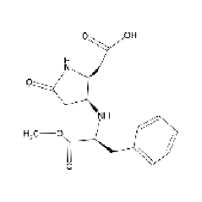 COC(=O)[C@H](Cc1ccccc1)N[C@H]1CC(=O)N[C@H]1CC(=O)O